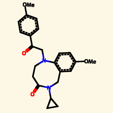 COc1ccc(C(=O)CN2CCC(=O)N(C3CC3)Cc3cc(OC)ccc32)cc1